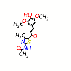 COc1cc(C=CC(=O)c2sc(NC(C)=O)nc2C)cc(OC)c1O